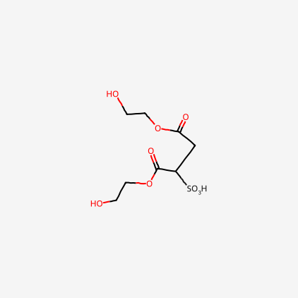 O=C(CC(C(=O)OCCO)S(=O)(=O)O)OCCO